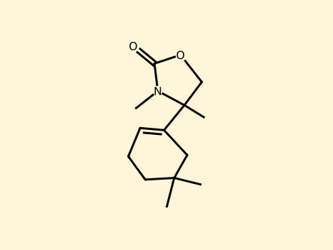 CN1C(=O)OCC1(C)C1=CCCC(C)(C)C1